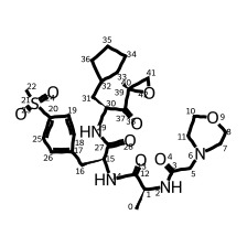 C[C@H](NC(=O)CN1CCOCC1)C(=O)N[C@@H](Cc1ccc(S(C)(=O)=O)cc1)C(=O)N[C@@H](CC1CCCC1)C(=O)[C@]1(C)CO1